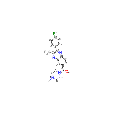 CN1CCN(C(=O)c2ccc3nc(-c4ccc(F)cc4)c(C(F)(F)F)nc3c2)CC1